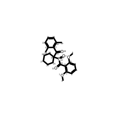 COc1cccc(OC)c1C(=O)[P](=O)C1(C(=O)c2c(C)cccc2C)CCCCC1